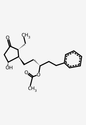 CC[C@H]1C(=O)C[C@@H](O)[C@@H]1CC[C@H](CCc1ccccc1)OC(C)=O